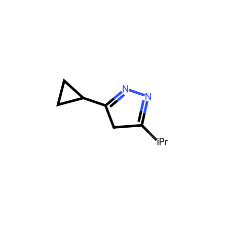 CC(C)C1=NN=C(C2CC2)C1